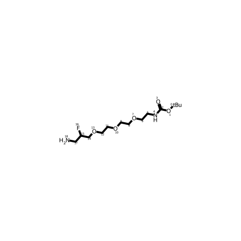 CC(C)(C)OC(=O)NCCOCCOCCOCC(F)CN